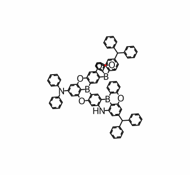 c1ccc(C(c2ccccc2)c2cc3c4c(c2)Oc2ccccc2B4c2cc4c(cc2N3)Oc2cc(N(c3ccccc3)c3ccccc3)cc3c2B4c2cc4c(cc2O3)Oc2cc(C(c3ccccc3)c3ccccc3)cc3c2B4c2ccccc2O3)cc1